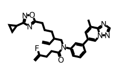 C=CC(CCCc1nc(C2CC2)no1)CN(C(=O)CCC(=C)F)c1cccc(-c2cc(C)c3ncnn3c2)c1